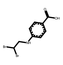 O=C(O)c1ccc(NCC(Br)Br)cc1